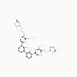 C=C1CC[C@@H](CNCc2ncc(-c3cccc(-c4cccc(-c5cnc(CNC6CCC(C)(F)C6)c(OC)n5)c4Cl)c3Cl)nc2OC)N1